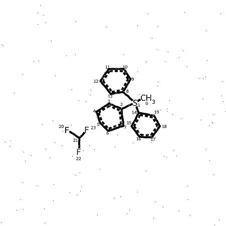 CS(c1ccccc1)(c1ccccc1)c1ccccc1.FC(F)F